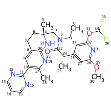 CCN(C[C@@]1(C)CCc2cc(-c3ncccn3)c(C)nc2N1)C(=O)[C@@H](C)c1cc(OC)nc(OC(F)F)c1